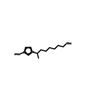 CCCCCCCCCCCCCCCCC(C)[n+]1ccn(CCCCCC)c1